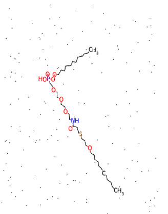 CCCCCCCCCCCCOCCCSCCC(=O)NCCOCCOCCOCCP(=O)(O)OOCCCCCCCCCCCC